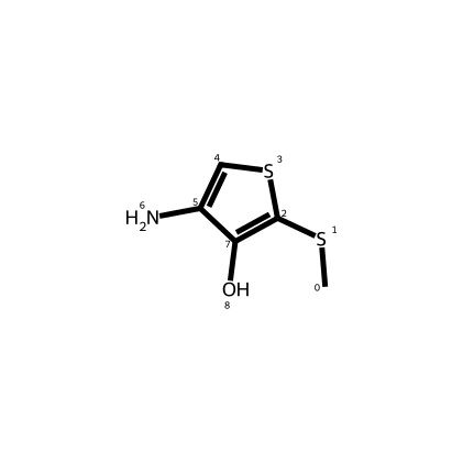 CSc1scc(N)c1O